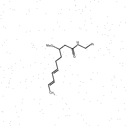 CC=CC=CCCC(CC(=O)NCC(C)C)OC